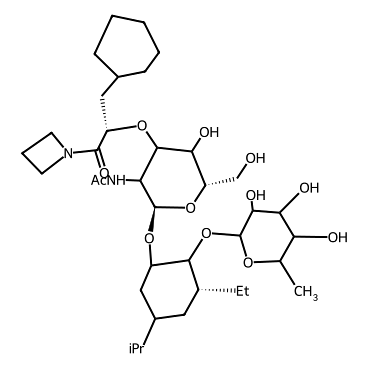 CC[C@@H]1CC(C(C)C)CC(O[C@@H]2O[C@@H](CO)C(O)C(O[C@@H](CC3CCCCC3)C(=O)N3CCC3)C2NC(C)=O)C1OC1OC(C)C(O)C(O)C1O